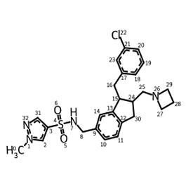 Cn1cc(S(=O)(=O)NCc2ccc3c(c2)C(Cc2cccc(Cl)c2)C(CN2CCC2)C3)cn1